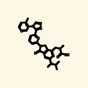 Cc1ccncc1-n1cnnc1-c1cccc(N2Cc3c(cc(N(C)C(C)C)nc3CN(C)C(=O)O)C2=O)n1